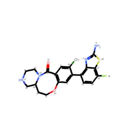 Nc1nc2c(-c3cc4c(cc3Cl)C(=O)N3CCNCC3CCO4)ccc(F)c2s1